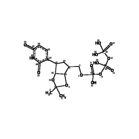 CC1(C)OC2C(COP(=O)(O)OP(=O)(O)OP(=O)(O)O)CC(n3ccc(=O)[nH]c3=O)C2O1